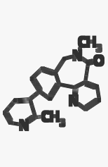 Cc1ncccc1-c1ccc2c(c1)-c1ncccc1C(=O)N(C)C2